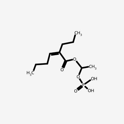 CCCC=C(CCC)C(=O)OC(C)OP(=O)(O)O